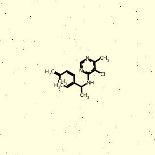 C=C(C)/C=C\C(=C/C)C(C)Nc1ncnc(C)c1Cl